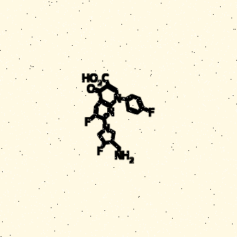 NCC1CN(c2nc3c(cc2F)c(=O)c(C(=O)O)cn3-c2ccc(F)cc2)CC1F